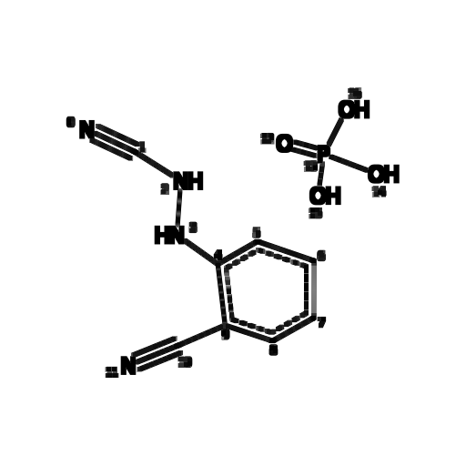 N#CNNc1ccccc1C#N.O=P(O)(O)O